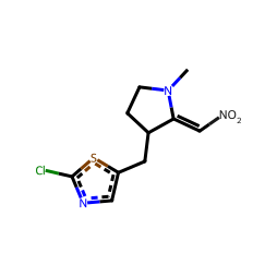 CN1CCC(Cc2cnc(Cl)s2)C1=C[N+](=O)[O-]